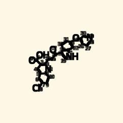 O=C(O)c1cc2cc(Cl)ccc2nc1C=CC(=O)c1c[nH]c2cc(Oc3cccnc3)ccc12